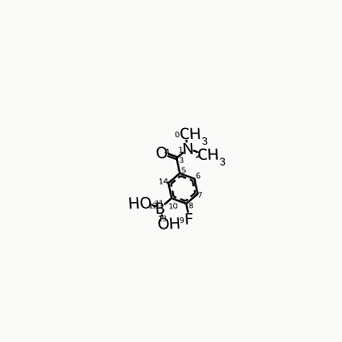 CN(C)C(=O)c1ccc(F)c(B(O)O)c1